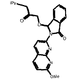 COc1ccc2ccc(N3C(=O)c4ccccc4C3OCC(=O)CC(C)C)nc2n1